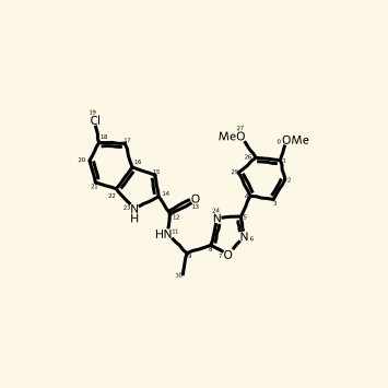 COc1ccc(-c2noc(C(C)NC(=O)c3cc4cc(Cl)ccc4[nH]3)n2)cc1OC